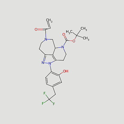 C=CC(=O)N1CCc2nn(-c3ccc(CC(F)(F)F)cc3O)c3c2C(C1)N(C(=O)OC(C)(C)C)CC3